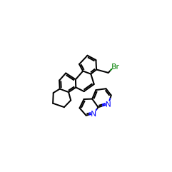 BrCc1cccc2c1ccc1c3c(ccc12)CCCC3.c1cnc2ncccc2c1